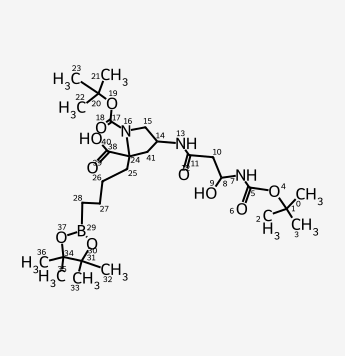 CC(C)(C)OC(=O)NC(O)CC(=O)NC1CN(C(=O)OC(C)(C)C)C(CCCCB2OC(C)(C)C(C)(C)O2)(C(=O)O)C1